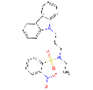 CCN(CCCn1c2ccccc2c2ccccc21)S(=O)(=O)c1ccccc1[N+](=O)[O-]